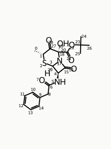 C[C@H]1S[C@@H]2[C@H](NC(=O)Cc3ccccc3)C(=O)N2[C@](O)(C(=O)OC(C)(C)C)C1=O